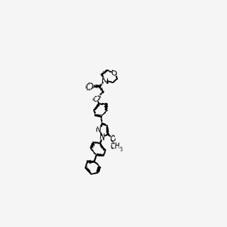 COc1cc(-c2ccc(OCC(=O)N3CCOCC3)cc2)nn1-c1ccc(-c2ccccc2)cc1